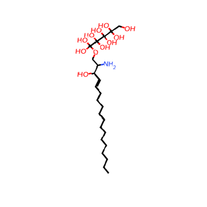 CCCCCCCCCCCCCC=CC(O)C(N)COC(O)(O)C(O)(O)C(O)(O)C(O)(O)CO